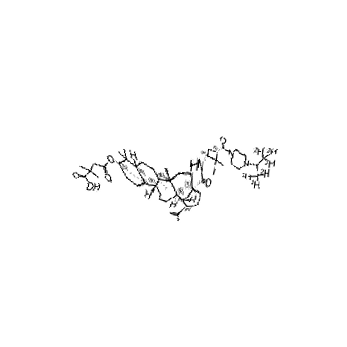 [2H]C([2H])([2H])C(N1CCN(C(=O)[C@H]2C[C@@H](NC(=O)[C@]34CC[C@@H](C(=C)C)[C@@H]3[C@H]3CC[C@@H]5[C@@]6(C)CC[C@H](OC(=O)CC(C)(C)C(=O)O)C(C)(C)[C@@H]6CC[C@@]5(C)[C@]3(C)CC4)C2(C)C)CC1)C([2H])([2H])[2H]